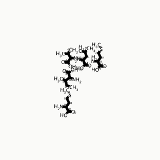 CC(C)C(N)C(=O)O.CC(C)CC(N)C(=O)O.CCC(C)C(N)C(=O)O.CSCCC(N)C(=O)O.CSCCC(N)C(=O)O